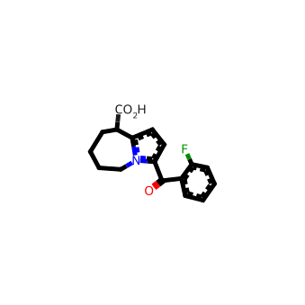 O=C(c1ccccc1F)c1ccc2n1CCCCC2C(=O)O